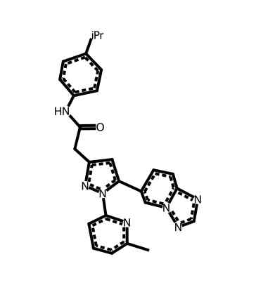 Cc1cccc(-n2nc(CC(=O)Nc3ccc(C(C)C)cc3)cc2-c2ccc3ncnn3c2)n1